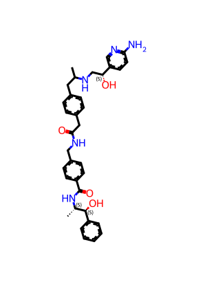 CC(Cc1ccc(CC(=O)NCc2ccc(C(=O)N[C@@H](C)[C@@H](O)c3ccccc3)cc2)cc1)NC[C@@H](O)c1ccc(N)nc1